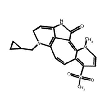 CN1C=CC(S(C)(=O)=O)=c2ccc3c4c([nH]c(=O)c-4c21)=CCN3CC1CC1